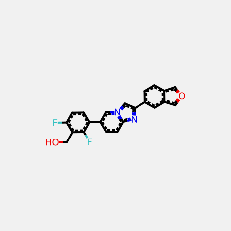 OCc1c(F)ccc(-c2ccc3nc(-c4ccc5cocc5c4)cn3c2)c1F